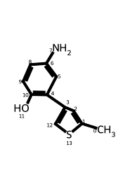 Cc1cc(-c2cc(N)ccc2O)cs1